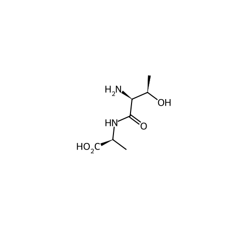 C[C@H](NC(=O)[C@@H](N)[C@@H](C)O)C(=O)O